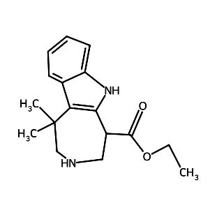 CCOC(=O)C1CNCC(C)(C)c2c1[nH]c1ccccc21